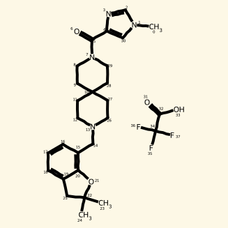 Cn1cnc(C(=O)N2CCC3(CCN(Cc4cccc5c4OC(C)(C)C5)CC3)CC2)c1.O=C(O)C(F)(F)F